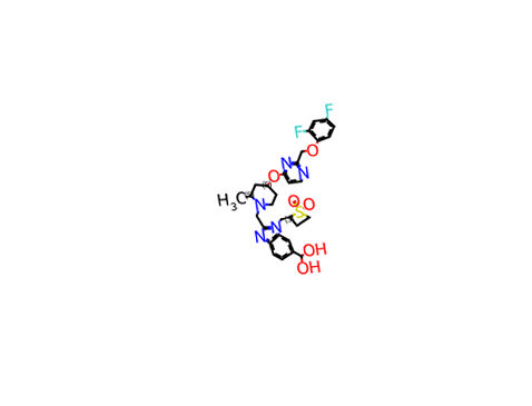 C[C@H]1C[C@@H](Oc2ccnc(COc3ccc(F)cc3F)n2)CCN1Cc1nc2ccc(C(O)O)cc2n1C[C@@H]1CCS1(=O)=O